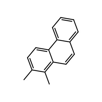 Cc1ccc2c(ccc3ccccc32)c1C